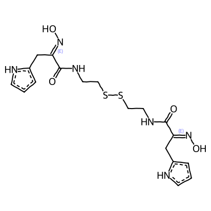 O=C(NCCSSCCNC(=O)/C(Cc1ccc[nH]1)=N/O)/C(Cc1ccc[nH]1)=N/O